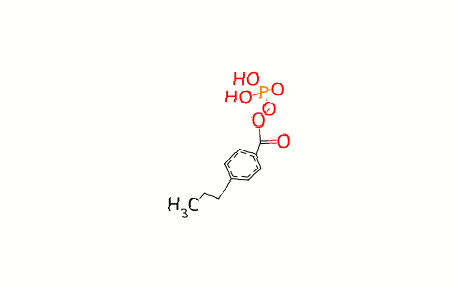 CCCc1ccc(C(=O)OOP(=O)(O)O)cc1